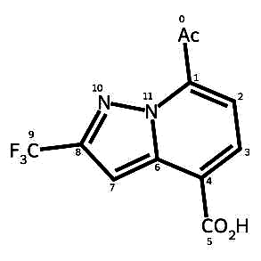 CC(=O)c1ccc(C(=O)O)c2cc(C(F)(F)F)nn12